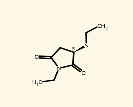 CCS[C@@H]1CC(=O)N(CC)C1=O